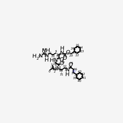 CC(C)C[C@H](NC(=O)[C@H](CCCNC(=N)N)NC(=O)OCc1ccccc1)C(=O)N[C@@H](C)CNC(=O)/C=C/c1ccccc1